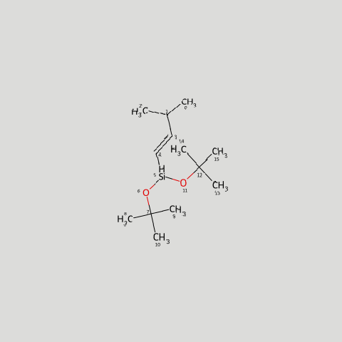 CC(C)C=C[SiH](OC(C)(C)C)OC(C)(C)C